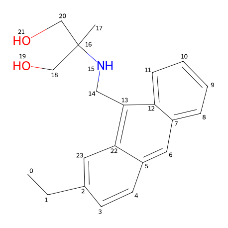 CCc1ccc2cc3ccccc3c(CNC(C)(CO)CO)c2c1